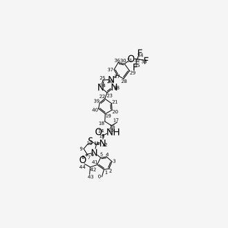 Cc1cccc(N2C(=O)CS/C2=N\C(=O)NC(C)Cc2ccc(-c3ncn(-c4ccc(OC(F)(F)F)cc4)n3)cc2)c1C(C)C